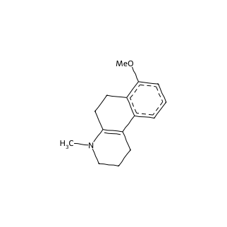 COc1cccc2c1CCC1=C2CCCN1C